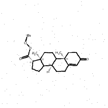 CC(C)(C)OOC(=O)[C@H]1CCC2[C@@H]3CCC4=CC(=O)CC[C@]4(C)C3CC[C@@]21C